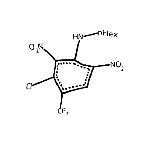 CCCCCCNc1c([N+](=O)[O-])cc(C(F)(F)F)c(Cl)c1[N+](=O)[O-]